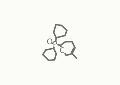 CC1=CCCC(P(=O)(C2CCCCC2)C2CCCCC2)CC1